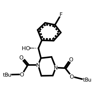 CC(C)(C)OC(=O)N1CCN(C(=O)OC(C)(C)C)C([C@H](O)c2ccc(F)cc2)C1